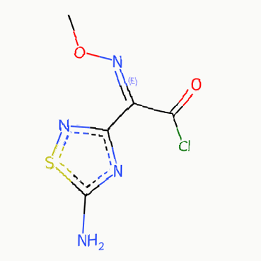 CO/N=C(/C(=O)Cl)c1nsc(N)n1